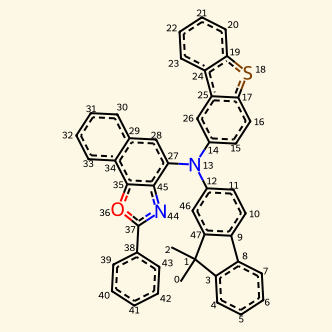 CC1(C)c2ccccc2-c2ccc(N(c3ccc4sc5ccccc5c4c3)c3cc4ccccc4c4oc(-c5ccccc5)nc34)cc21